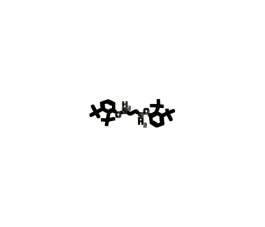 CC(C)(C)c1cccc(O[SiH2]CC[SiH2]Oc2cccc(C(C)(C)C)c2C(C)(C)C)c1C(C)(C)C